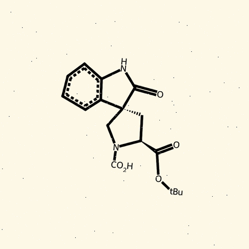 CC(C)(C)OC(=O)[C@@H]1C[C@@]2(CN1C(=O)O)C(=O)Nc1ccccc12